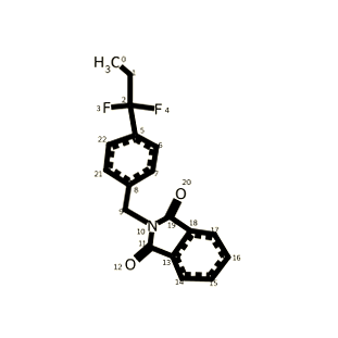 CCC(F)(F)c1ccc(CN2C(=O)c3ccccc3C2=O)cc1